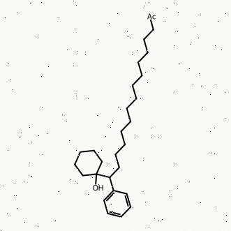 CC(=O)CCCCCCCCCCCCCC(c1ccccc1)C1(O)CCCCC1